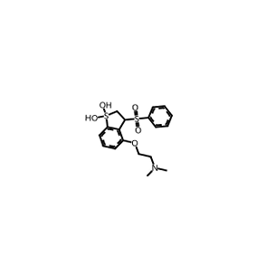 CN(C)CCOc1cccc2c1C(S(=O)(=O)c1ccccc1)CS2(O)O